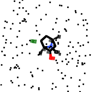 CN1[C@H]2CC[C@@H]1[C@H](O)C2.Cl